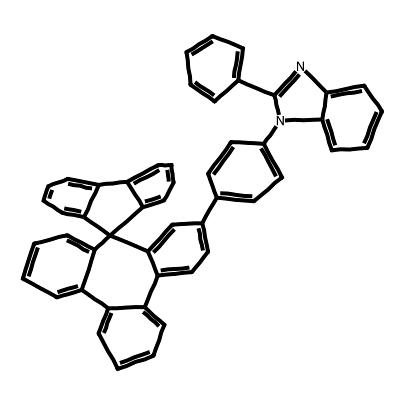 c1ccc(-c2nc3ccccc3n2-c2ccc(-c3ccc4c(c3)C3(c5ccccc5-c5ccccc5-4)c4ccccc4-c4ccccc43)cc2)cc1